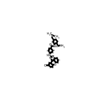 CN(C)Cc1ccc(CN)c(NC(=O)c2ccc(Nc3nc(-c4cc(Cl)ccc4Cl)c4ccccc4n3)cc2)c1